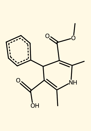 COC(=O)C1=C(C)NC(C)=C(C(=O)O)C1c1ccccc1